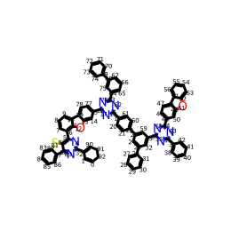 C1=CC(c2nc(-c3cccc4c3oc3cc(-c5nc(-c6ccc(-c7cc(-c8ccccc8)cc(-c8nc(-c9ccccc9)nc(-c9ccc%10c(c9)oc9ccccc9%10)n8)c7)cc6)nc(-c6cccc(-c7ccccc7)c6)n5)ccc34)c3sc4ccccc4c3n2)=CCC1